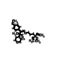 CO[Si](CCCON=C(c1ccc(SC)cc1)C(C)(C)N1CCOCC1)(OC)OC